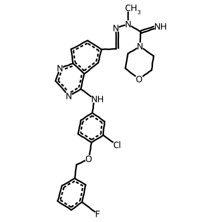 CN(/N=C/c1ccc2ncnc(Nc3ccc(OCc4cccc(F)c4)c(Cl)c3)c2c1)C(=N)N1CCOCC1